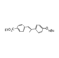 CCCCOc1ccc(/C(C)=C/c2ccc(C(=O)OCC)cc2)cc1